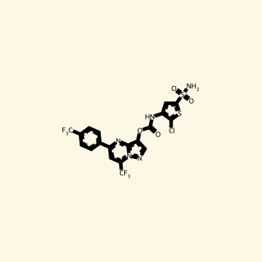 NS(=O)(=O)c1cc(NC(=O)Oc2cnn3c(C(F)(F)F)cc(-c4ccc(C(F)(F)F)cc4)nc23)c(Cl)s1